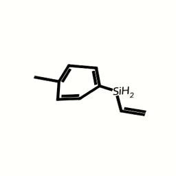 C=C[SiH2]c1ccc(C)cc1